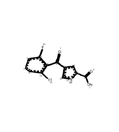 O=C(O)c1cc(C(=O)c2c(F)cccc2Cl)c[nH]1